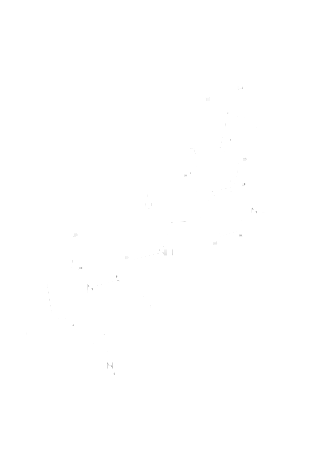 CC1C(C)C(C#N)N(C(=O)CNC(=O)c2ccnc3cc(C(C)(C)C)ccc23)C1I